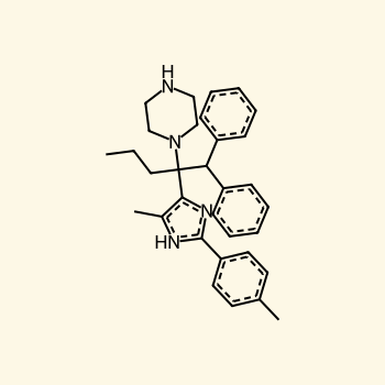 CCCC(c1nc(-c2ccc(C)cc2)[nH]c1C)(C(c1ccccc1)c1ccccc1)N1CCNCC1